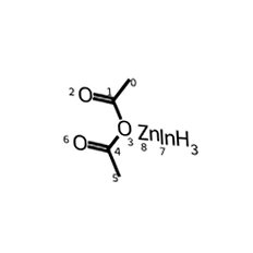 CC(=O)OC(C)=O.[InH3].[Zn]